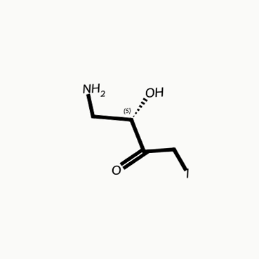 NC[C@H](O)C(=O)CI